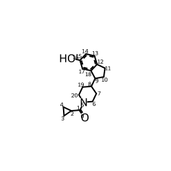 O=C(C1CC1)N1CCC(C2CCc3ccc(O)cc32)CC1